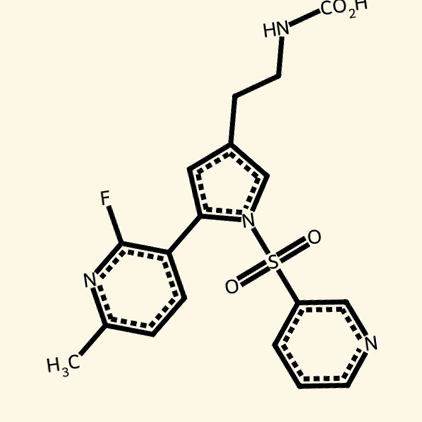 Cc1ccc(-c2cc(CCNC(=O)O)cn2S(=O)(=O)c2cccnc2)c(F)n1